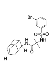 CC(C)(NS(=O)(=O)c1cccc(Br)c1)C(=O)N[C@H]1C2CC3CC1C[C@H](C3)C2